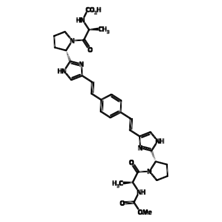 COC(=O)N[C@@H](C)C(=O)N1CCC[C@H]1c1nc(C=Cc2ccc(C=Cc3c[nH]c([C@@H]4CCCN4C(=O)[C@H](C)NC(=O)O)n3)cc2)c[nH]1